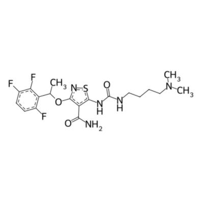 CC(Oc1nsc(NC(=O)NCCCCN(C)C)c1C(N)=O)c1c(F)ccc(F)c1F